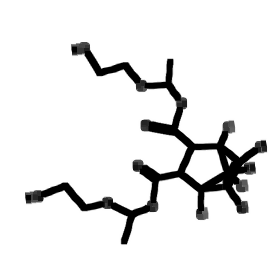 CC(OCCO)OC(=O)C1C(C(=O)OC(C)OCCO)C2(Cl)C(Cl)=C(Cl)C1(Cl)C2(Cl)Cl